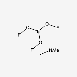 CNC.FOB(OF)OF